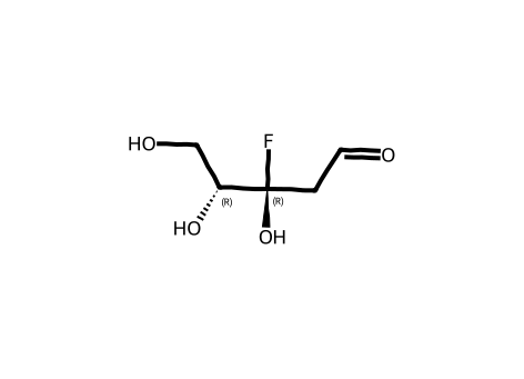 O=CC[C@@](O)(F)[C@H](O)CO